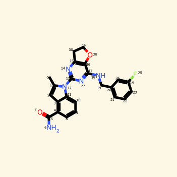 Cc1cc2c(C(N)=O)cccc2n1-c1nc2c(c(NCc3cccc(F)c3)n1)OCC2